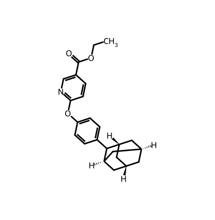 CCOC(=O)c1ccc(Oc2ccc(C3[C@H]4C[C@@H]5C[C@@H](C[C@H]3C5)C4)cc2)nc1